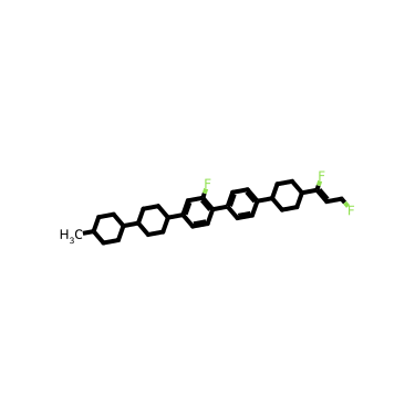 CC1CCC(C2CCC(c3ccc(-c4ccc(C5CCC(/C(F)=C/CF)CC5)cc4)c(F)c3)CC2)CC1